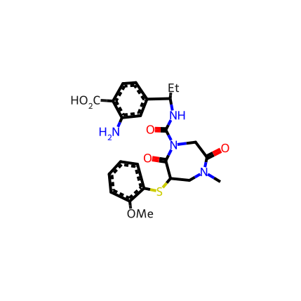 CCC(NC(=O)N1CC(=O)N(C)CC(Sc2ccccc2OC)C1=O)c1ccc(C(=O)O)c(N)c1